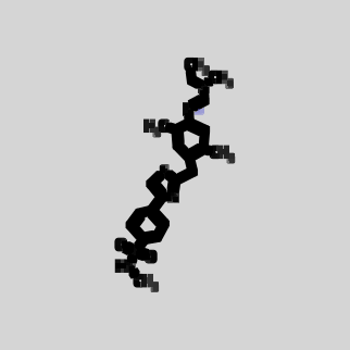 CCN(C)/C=N/c1cc(C)c(Cc2nc(-c3ccc(S(=O)(=O)NC)cc3)cs2)cc1C